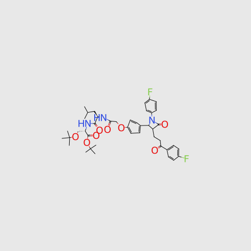 CC(C)C[C@@H](NC(=O)COc1ccc(C2C(CCC(=O)c3ccc(F)cc3)C(=O)N2c2ccc(F)cc2)cc1)C(=O)N[C@@H](COC(C)(C)C)C(=O)OC(C)(C)C